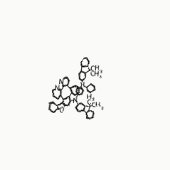 CC1(C)c2ccccc2-c2ccc(N(c3ccccc3)c3ccc4c(c3)-c3cccnc3-c3ncccc3-c3c-4c(N(c4ccccc4)c4ccc5c(c4)C(C)(C)c4ccccc4-5)cc4oc5ccccc5c34)cc21